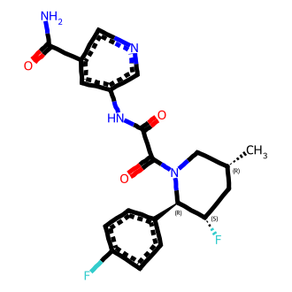 C[C@@H]1C[C@H](F)[C@@H](c2ccc(F)cc2)N(C(=O)C(=O)Nc2cncc(C(N)=O)c2)C1